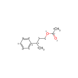 CC(=O)OCCC(C)c1ccccc1